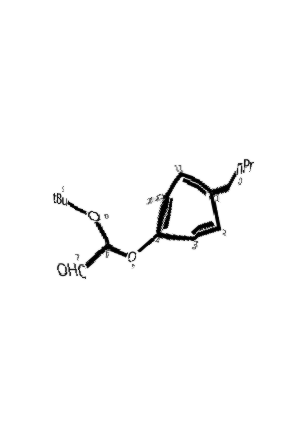 CCCc1ccc(OC(C=O)OC(C)(C)C)cc1